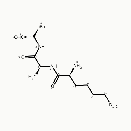 CC[C@H](C)[C@@H]([C]=O)NC(=O)[C@H](C)NC(=O)[C@@H](N)CCCCN